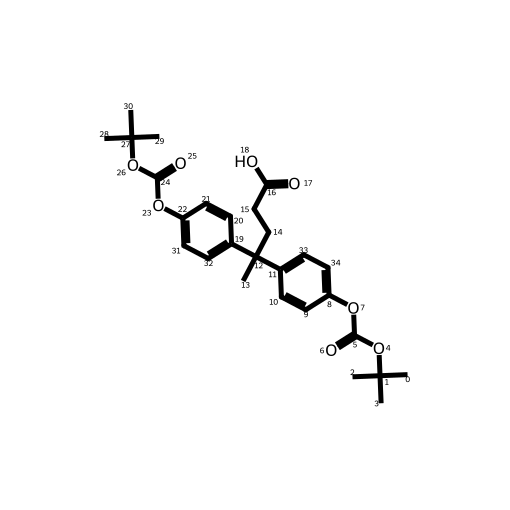 CC(C)(C)OC(=O)Oc1ccc(C(C)(CCC(=O)O)c2ccc(OC(=O)OC(C)(C)C)cc2)cc1